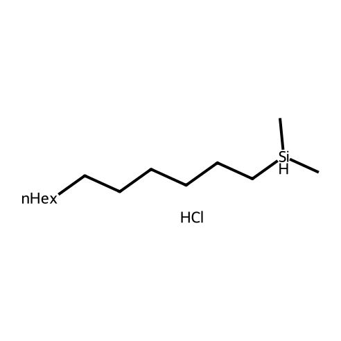 CCCCCCCCCCCC[SiH](C)C.Cl